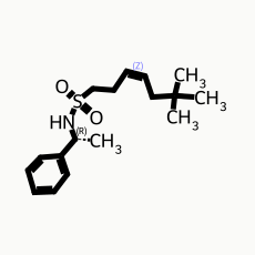 C[C@@H](NS(=O)(=O)CC/C=C\CC(C)(C)C)c1ccccc1